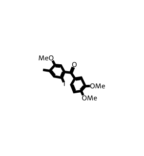 COc1cc(C(=O)c2ccc(OC)c(OC)c2)c(I)cc1C